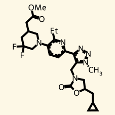 CCc1nc(-c2nnn(C)c2CN2CC(CC3CC3)OC2=O)ccc1N1CC(CC(=O)OC)CC(F)(F)C1